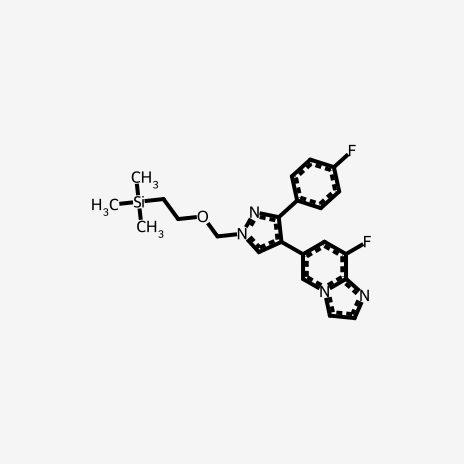 C[Si](C)(C)CCOCn1cc(-c2cc(F)c3nccn3c2)c(-c2ccc(F)cc2)n1